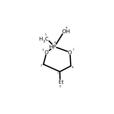 CCC1CO[PH](C)(O)OC1